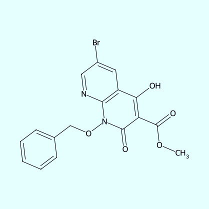 COC(=O)c1c(O)c2cc(Br)cnc2n(OCc2ccccc2)c1=O